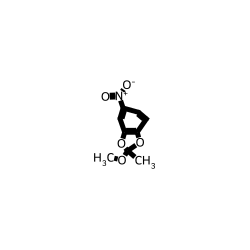 COC1(C)Oc2ccc([N+](=O)[O-])cc2O1